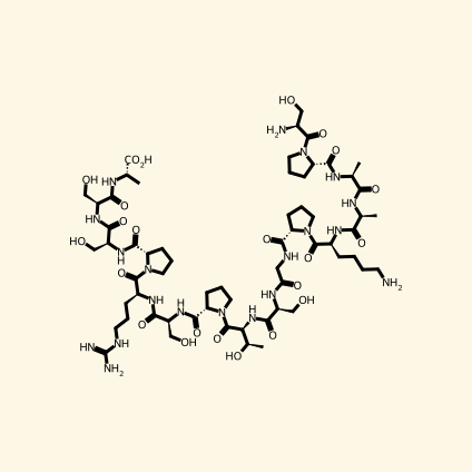 C[C@H](NC(=O)[C@H](CO)NC(=O)[C@H](CO)NC(=O)[C@@H]1CCCN1C(=O)[C@H](CCCNC(=N)N)NC(=O)[C@H](CO)NC(=O)[C@@H]1CCCN1C(=O)[C@@H](NC(=O)[C@H](CO)NC(=O)CNC(=O)[C@@H]1CCCN1C(=O)[C@H](CCCCN)NC(=O)[C@H](C)NC(=O)[C@H](C)NC(=O)[C@@H]1CCCN1C(=O)[C@@H](N)CO)[C@@H](C)O)C(=O)O